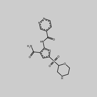 NC(=O)c1cc(S(=O)(=O)C2CNCCO2)sc1NC(=O)c1ccnnc1